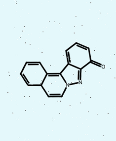 O=C1C=CC=c2c1nn1c2=C2C=CC=CC2C=C1